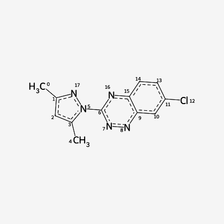 Cc1cc(C)n(-c2nnc3cc(Cl)ccc3n2)n1